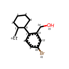 CCC1CCCCC1c1ccc(Br)cc1CO